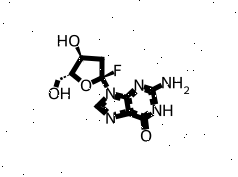 Nc1nc2c(ncn2[C@@]2(F)C[C@H](O)[C@@H](CO)O2)c(=O)[nH]1